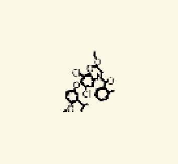 CCOC(=O)CN(C(=O)c1ccccc1C)c1cc(Cl)c(Oc2ccc(OC)c(C(C)C)c2)c(Cl)c1